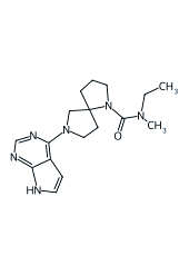 CCN(C)C(=O)N1CCCC12CCN(c1ncnc3[nH]ccc13)C2